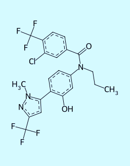 CCCN(C(=O)c1ccc(C(F)(F)F)c(Cl)c1)c1ccc(-c2cc(C(F)(F)F)nn2C)c(O)c1